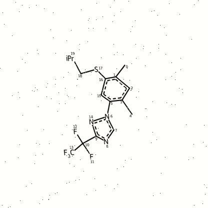 Cc1cc(C)c(-n2cnc(C(F)(F)C(F)(F)F)n2)cc1SCC(C)C